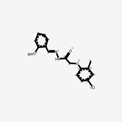 COc1ccccc1C=NNC(=O)COc1ccc(Cl)cc1C